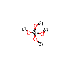 CC[O][Zr]([O]CC)([O]CC)[O]CC